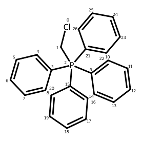 ClCP(c1ccccc1)(c1ccccc1)(c1ccccc1)c1ccccc1